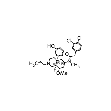 C=CCN1CC[C@@]2(c3cccc(O)c3)C[C@@H](N(C)C(=O)Cc3ccc(Cl)c(Cl)c3)CC(OC)[C@@H]2C1